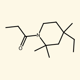 CCC(=O)N1CCC(C)(CC)CC1(C)C